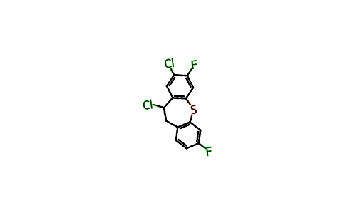 Fc1ccc2c(c1)Sc1cc(F)c(Cl)cc1C(Cl)C2